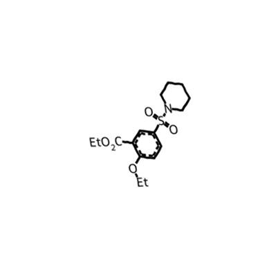 CCOC(=O)c1cc(S(=O)(=O)N2CCCCC2)ccc1OCC